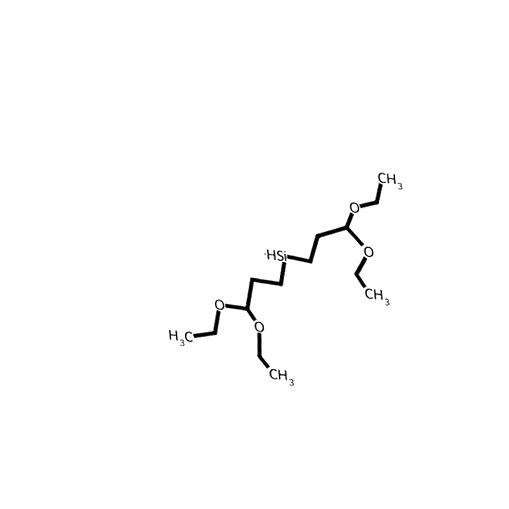 CCOC(CC[SiH]CCC(OCC)OCC)OCC